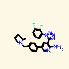 CC1CCCN1Cc1ccc(-c2cnc(N)c(-c3nnnn3-c3cccc(F)c3F)c2)cc1